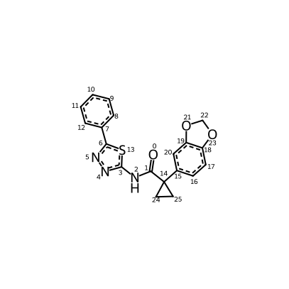 O=C(Nc1nnc(-c2ccccc2)s1)C1(c2ccc3c(c2)OCO3)CC1